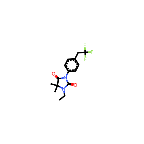 CCN1C(=O)N(c2ccc(CC(F)(F)F)cc2)C(=O)C1(C)C